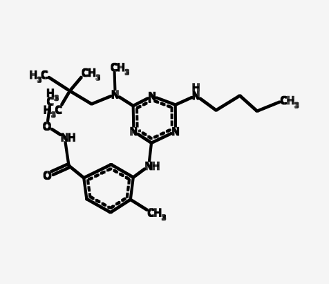 CCCCNc1nc(Nc2cc(C(=O)NOC)ccc2C)nc(N(C)CC(C)(C)C)n1